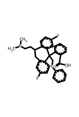 CN(C)CCC1Cc2cc(F)ccc2C(CSc2ccccc2)(c2ccccc2C(=O)O)c2cc(F)ccc21